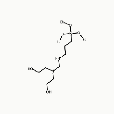 CCO[Si](CCCNCN(CCO)CCO)(OCC)OCC